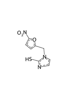 O=[N+]([O-])c1ccc(Cn2ccnc2S)o1